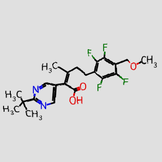 COCc1c(F)c(F)c(CCC(C)=C(C(=O)O)c2cnc(C(C)(C)C)nc2)c(F)c1F